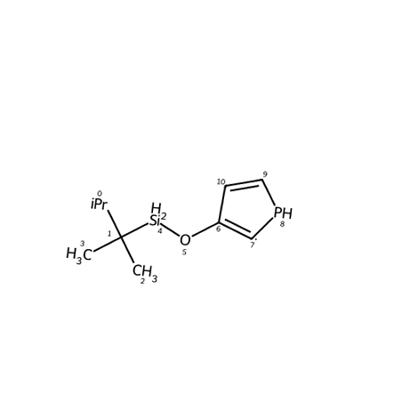 CC(C)C(C)(C)[SiH2]Oc1[c][pH]cc1